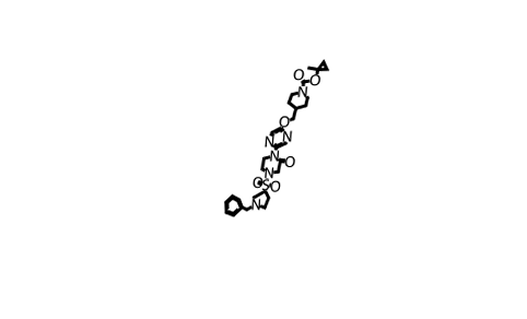 CC1(OC(=O)N2CCC(COc3cnc(N4CCN(S(=O)(=O)C5CCN(Cc6ccccc6)C5)CC4=O)cn3)CC2)CC1